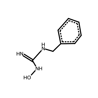 N=C(NO)NCc1ccccc1